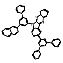 c1ccc(-c2cc(-c3ccccc3)cc(-c3ccc4c(c3)c3nc5ccccc5nc3n4-c3cc(-c4ccccc4)cc(-c4ccc5ccccc5c4)c3)c2)cc1